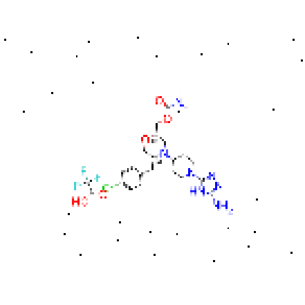 CN(C)C(=O)OC[C@H]1CN(C2CCN(c3nnc(N)[nH]3)CC2)[C@@H](Cc2ccc(Cl)cc2)CO1.O=C(O)C(F)(F)F